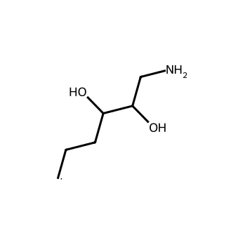 [CH2]CCC(O)C(O)CN